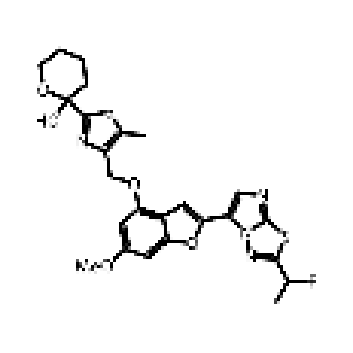 COc1cc(OCc2nc(C3(O)CCCCO3)sc2C)c2cc(-c3cnc4sc(C(C)F)nn34)oc2c1